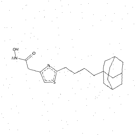 O=C(Cc1csc(CCCCC23CC4CC(CC(C4)C2)C3)n1)NO